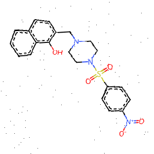 O=[N+]([O-])c1ccc(S(=O)(=O)N2CCN(Cc3ccc4ccccc4c3O)CC2)cc1